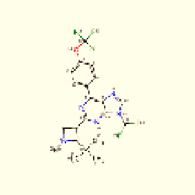 [2H]N1CC(c2nc(-c3ccc(OC(F)(F)F)cc3)c3ncn(C(F)F)c3n2)C1C(C)(C)C